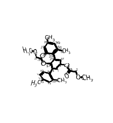 COCC(=O)Oc1cc(-c2ccc(C)cc2C)c(OC(=O)COC)c(-c2ccc(C)cc2C)c1